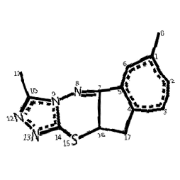 Cc1ccc2c(c1)C1=Nn3c(C)nnc3SC1C2